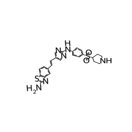 Nc1nc2cc(/C=C/c3cnc(Nc4ccc(S(=O)(=O)C5CCNCC5)cc4)nc3)ccc2s1